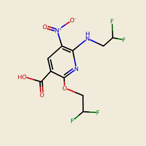 O=C(O)c1cc([N+](=O)[O-])c(NCC(F)F)nc1OCC(F)F